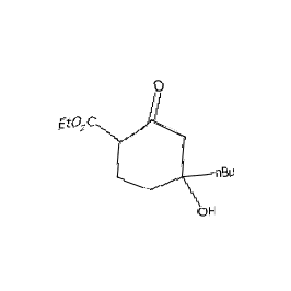 CCCCC1(O)CCC(C(=O)OCC)C(=O)C1